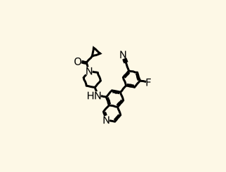 N#Cc1cc(F)cc(-c2cc(NC3CCN(C(=O)C4CC4)CC3)c3cnccc3c2)c1